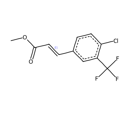 COC(=O)/C=C/c1ccc(Cl)c(C(F)(F)F)c1